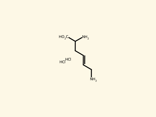 Cl.Cl.NC/C=C/CC(N)C(=O)O